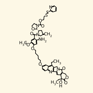 C=C1C[C@@H](C2OCCN2C(=O)OCCSSc2ccccn2)N(C(=O)c2cc(OC)c(OCCCCCOc3ccc4nc5c(c(CC)c4c3)Cn3c-5cc4c(c3=O)COC(=O)[C@]4(O)CC)cc2N)C1